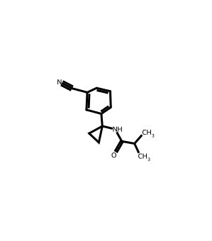 CC(C)C(=O)NC1(c2cccc(C#N)c2)CC1